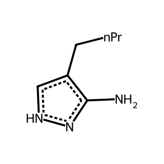 CCCCc1c[nH]nc1N